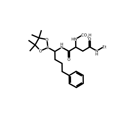 CCNC(=O)CC(NC(=O)O)C(=O)NC(CCCc1ccccc1)B1OC(C)(C)C(C)(C)O1